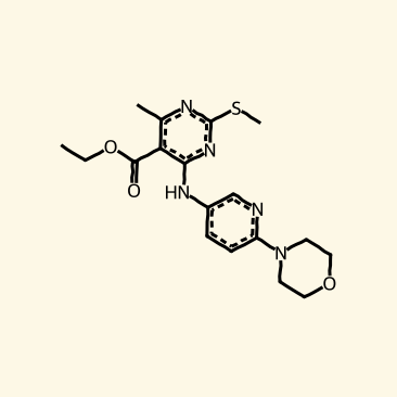 CCOC(=O)c1c(C)nc(SC)nc1Nc1ccc(N2CCOCC2)nc1